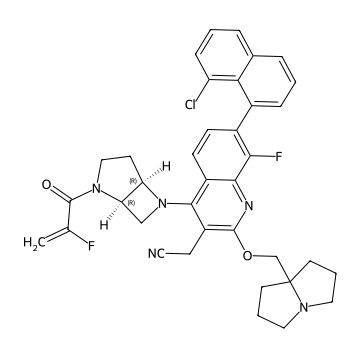 C=C(F)C(=O)N1CC[C@@H]2[C@H]1CN2c1c(CC#N)c(OCC23CCCN2CCC3)nc2c(F)c(-c3cccc4cccc(Cl)c34)ccc12